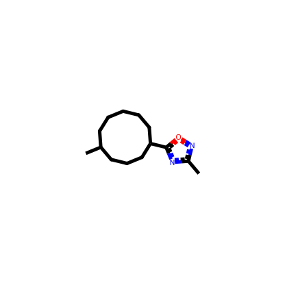 Cc1noc(C2CCCCCC(C)CCC2)n1